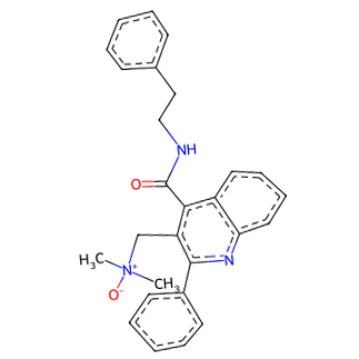 C[N+](C)([O-])Cc1c(-c2ccccc2)nc2ccccc2c1C(=O)NCCc1ccccc1